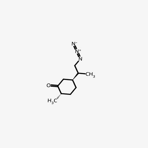 CC(CN=[N+]=[N-])[C@H]1CC[C@H](C)C(=O)C1